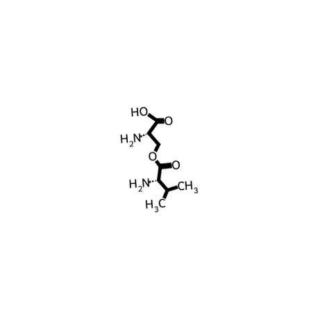 CC(C)[C@H](N)C(=O)OC[C@H](N)C(=O)O